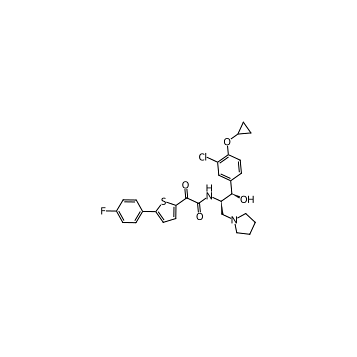 O=C(N[C@H](CN1CCCC1)[C@H](O)c1ccc(OC2CC2)c(Cl)c1)C(=O)c1ccc(-c2ccc(F)cc2)s1